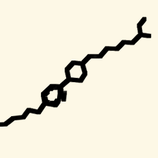 CCCCCCCc1ccc(C2CCC(CCCCCCC(C)CC)CC2)nc1